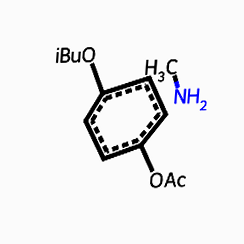 CC(=O)Oc1ccc(OCC(C)C)cc1.CN